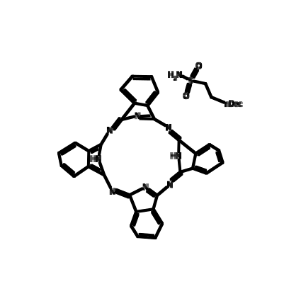 CCCCCCCCCCCCS(N)(=O)=O.c1ccc2c(c1)-c1nc-2nc2[nH]c(nc3nc(nc4[nH]c(n1)c1ccccc41)-c1ccccc1-3)c1ccccc21